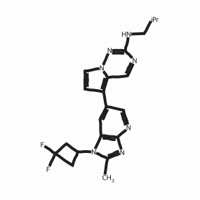 Cc1nc2ncc(-c3ccn4nc(NCC(C)C)ncc34)cc2n1C1CC(F)(F)C1